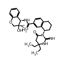 CCC1(CC)CC(=O)N([C@@H]2CCCc3ccc(C(=O)N[C@@H]4c5ccccc5OC[C@@]4(C)O)cc32)C(=N)N1